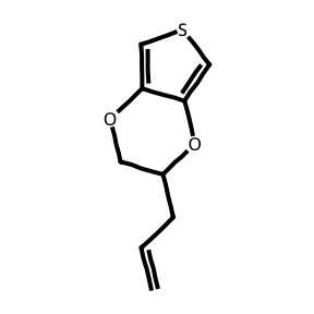 C=CCC1COc2cscc2O1